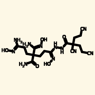 N#CCCC(C#N)(CCC#N)C(=O)NNC(CCC(CCC(N)=NO)(C(N)=O)C(N)=NO)=NO